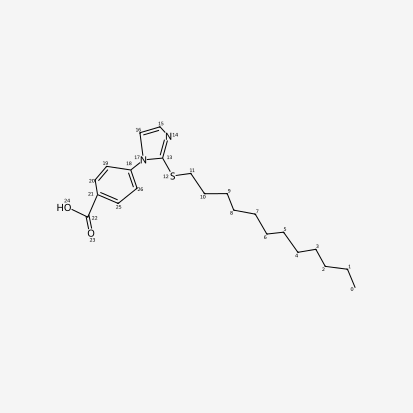 CCCCCCCCCCCCSc1nccn1-c1ccc(C(=O)O)cc1